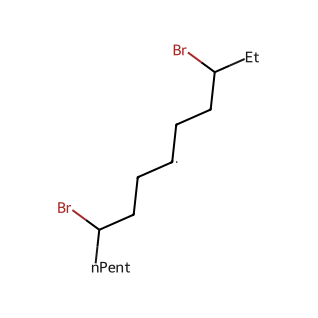 CCCCCC(Br)CC[CH]CCC(Br)CC